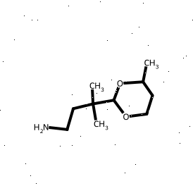 CC1CCOC(C(C)(C)CCN)O1